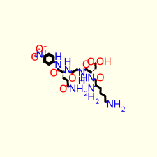 NCCCC[C@H](N)C(=O)N[C@@H](CC(=O)O)C(=O)NCC(=O)N[C@@H](CCC(N)=O)C(=O)Nc1ccc([N+](=O)[O-])cc1